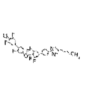 CCCCCc1cnc(-c2ccc(-c3cc(F)c(C(F)(F)Oc4ccc(-c5cc(F)c(Cl)c(F)c5)c(F)c4)c(F)c3)cc2)nc1